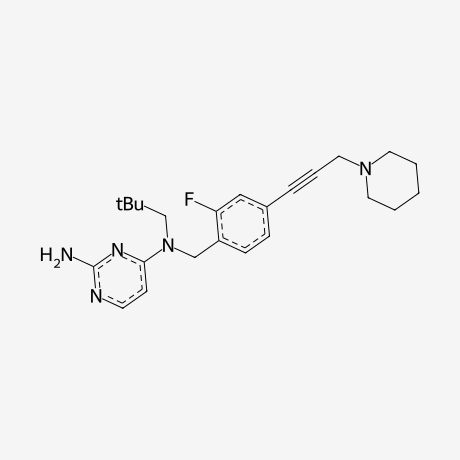 CC(C)(C)CN(Cc1ccc(C#CCN2CCCCC2)cc1F)c1ccnc(N)n1